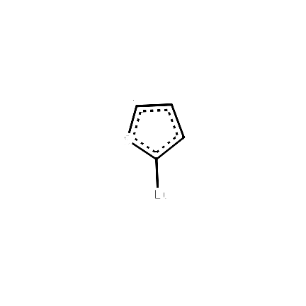 [CH2]Cc1cccs1